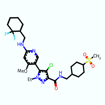 CCn1nc(C(=O)NCC2CCC(S(C)(=O)=O)CC2)c(Cl)c1-c1cnc(NCC2CCCCC2(F)F)cc1OC